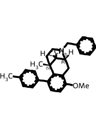 COc1ccc(-c2ccc(C)cc2)c2c1C[C@H]1N(Cc3ccccc3)CC[C@]2(C)C1(C)C